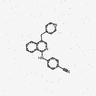 N#Cc1ccc(Nc2ncc(Cc3ccncc3)c3ccccc23)cc1